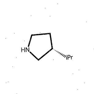 CC(C)[C@H]1CCNC1